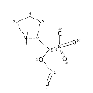 O=COC(C1CCCN1)S(=O)(=O)Cl